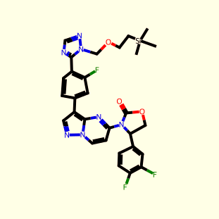 C[Si](C)(C)CCOCn1ncnc1-c1ccc(-c2cnn3ccc(N4C(=O)OCC4c4ccc(F)c(F)c4)nc23)cc1F